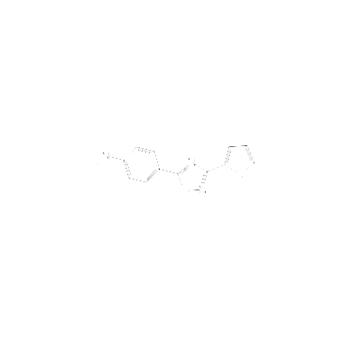 Nc1ccc(-c2nc(-c3cccs3)no2)cc1